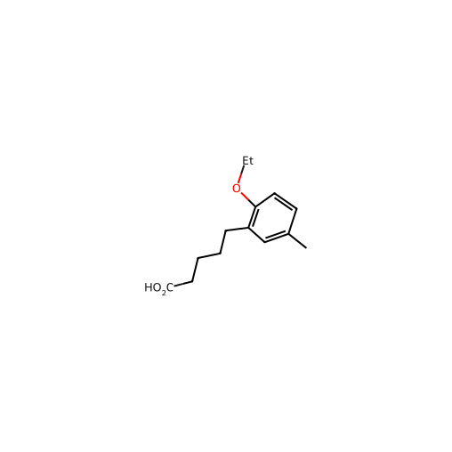 CCOc1ccc(C)cc1CCCCC(=O)O